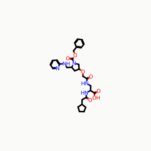 O=C(COC1CC(CNc2ccccn2)N(C(=O)OCc2ccccc2)C1)NCC(NC(=O)CC1CCCC1)C(=O)O